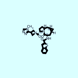 Cn1cnnc1C1CN(C(=O)[C@@H]2CC[C@@H]3C[C@@H]4C[C@@H]4C[C@H](NC(=O)c4cc5ccccc5s4)C(=O)N32)C1